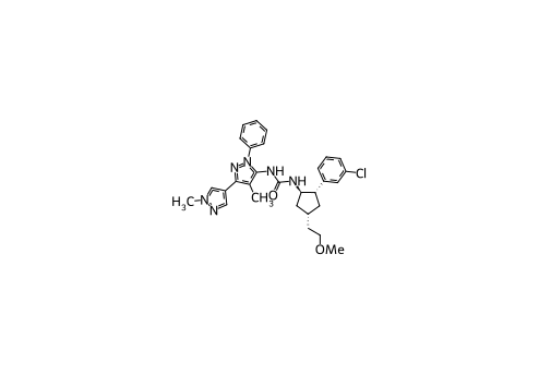 COCC[C@@H]1C[C@@H](NC(=O)Nc2c(C)c(-c3cnn(C)c3)nn2-c2ccccc2)[C@H](c2cccc(Cl)c2)C1